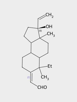 C=C[C@@]1(O)CCC2C3CC/C(=C/C=O)C(C)(CC)C3CCC21C